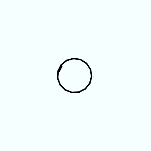 [CH]1CCCCCC=CCCCCCCC1